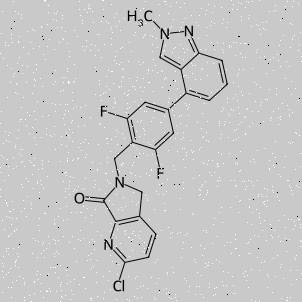 Cn1cc2c(-c3cc(F)c(CN4Cc5ccc(Cl)nc5C4=O)c(F)c3)cccc2n1